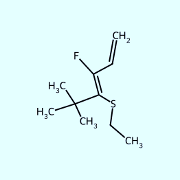 C=C/C(F)=C(\SCC)C(C)(C)C